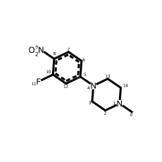 CN1CCN(c2ccc([N+](=O)[O-])c(F)c2)CC1